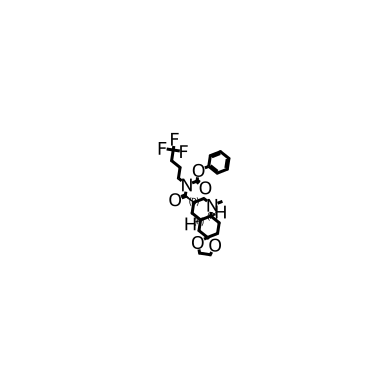 CN1C[C@H](C(=O)N(CCCC(F)(F)F)C(=O)Oc2ccccc2)C[C@@H]2CC3(CC[C@H]21)OCCO3